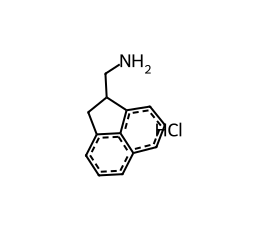 Cl.NCC1Cc2cccc3cccc1c23